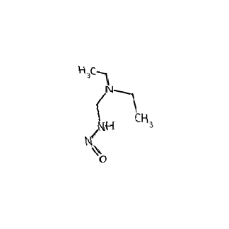 CCN(CC)CNN=O